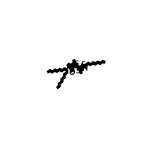 C=C1c2c(C)sc(-c3sc(C)c4nc(CCCCCCCC)sc34)c2C(=O)N1C(CCCCCCCC)CCCCCCCC